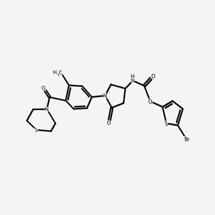 Cc1cc(N2CC(NC(=O)Oc3ccc(Br)s3)CC2=O)ccc1C(=O)N1CCSCC1